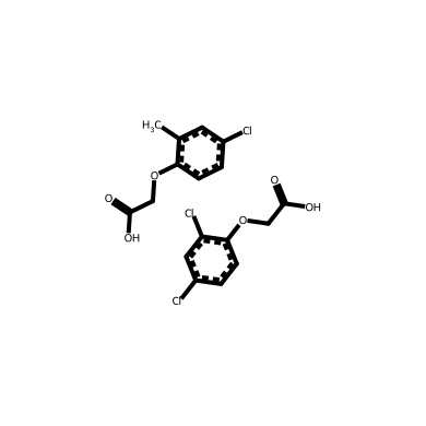 Cc1cc(Cl)ccc1OCC(=O)O.O=C(O)COc1ccc(Cl)cc1Cl